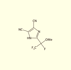 COC(F)(c1nc(C#N)c(C#N)[nH]1)C(F)(F)F